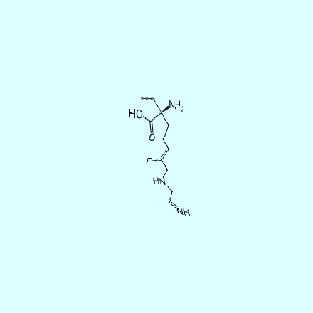 CC[C@](N)(CC/C=C(\F)CNCC=N)C(=O)O